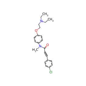 CCN(CC)CCOc1ccc(N(C)C(=O)C#Cc2ccc(Cl)cc2)cc1